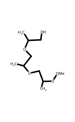 COOC(C)COC(C)COC(C)CO